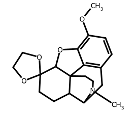 COc1ccc2c3c1OC1C4(CCC5C(C2)N(C)CCC351)OCCO4